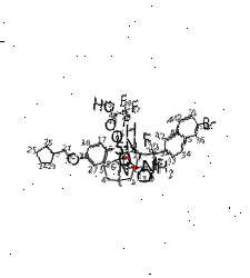 NC1CC2CCC(C1)N2C(=O)[C@@H](NS(=O)(=O)c1ccc(OCC2CCCC2)cc1)C(F)(F)c1ccc2cc(Br)ccc2c1.O=C(O)C(F)(F)F